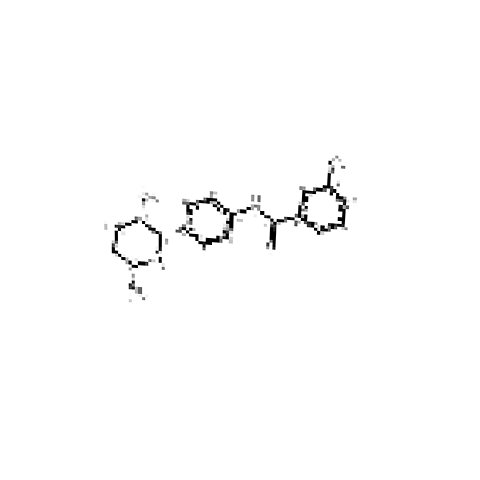 C[C@@H]1CN[C@H](C)[C@H](c2ccc(NC(=O)c3ccnc(C(F)(F)F)c3)cc2)O1